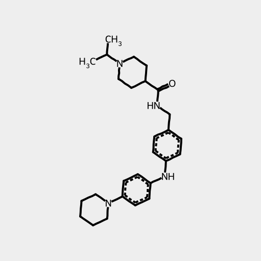 CC(C)N1CCC(C(=O)NCc2ccc(Nc3ccc(N4CCCCC4)cc3)cc2)CC1